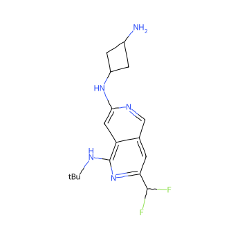 CC(C)(C)Nc1nc(C(F)F)cc2cnc(NC3CC(N)C3)cc12